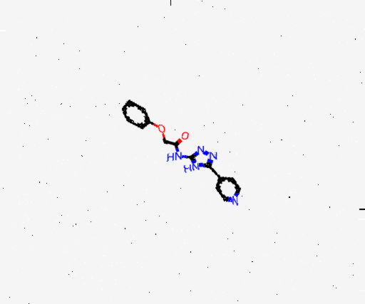 O=C(COc1ccccc1)Nc1nnc(-c2ccncc2)[nH]1